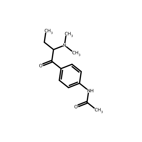 CCC(C(=O)c1ccc(NC(C)=O)cc1)N(C)C